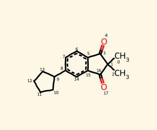 CC1(C)C(=O)c2ccc(C3CCCC3)cc2C1=O